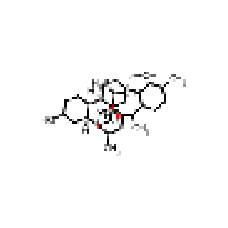 CC1CCC(C(C)C)C([C@]2(CO)CC[C@H]3[C@@H](CC[C@@H]4C[C@@H](O)CC[C@]43C3CC(C)CCC3C(C)C)C2)C1